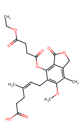 CCOC(=O)CCC(=O)Oc1c(CC=C(C)CCC(=O)O)c(OC)c(C)c2c1C(=O)OC2